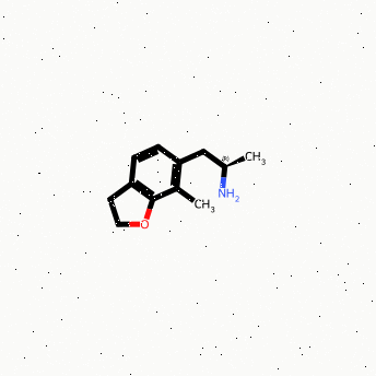 Cc1c(C[C@@H](C)N)ccc2c1OCC2